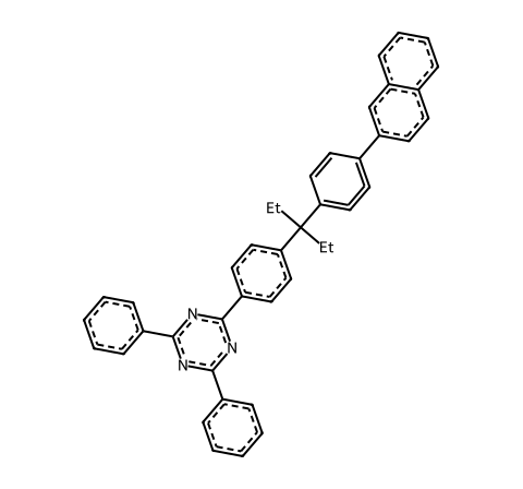 CCC(CC)(C1=C=C=C(c2ccc3ccccc3c2)C=C1)c1ccc(-c2nc(-c3ccccc3)nc(-c3ccccc3)n2)cc1